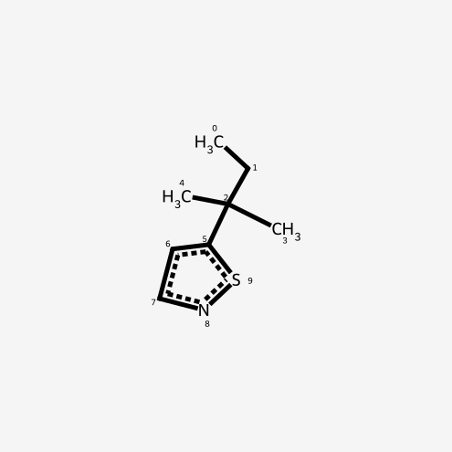 CCC(C)(C)c1ccns1